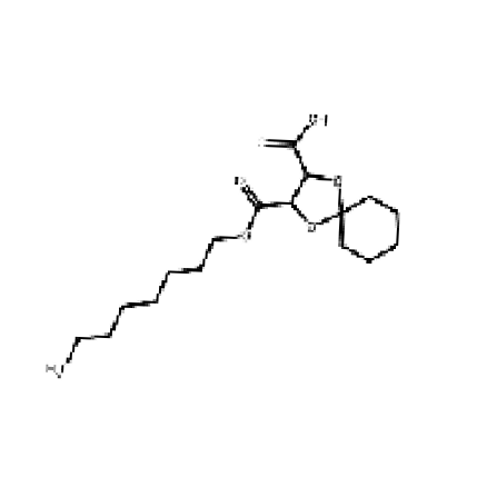 CCCCCCCCOC(=O)C1OC2(CCCCC2)OC1C(=O)O